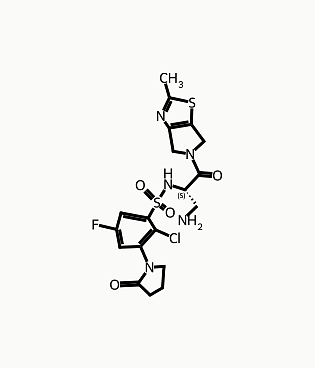 Cc1nc2c(s1)CN(C(=O)[C@H](CN)NS(=O)(=O)c1cc(F)cc(N3CCCC3=O)c1Cl)C2